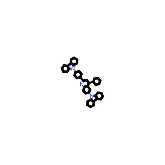 c1ccc(-c2cc(-c3ccc(-n4c5ccccc5c5ccccc54)cc3)nc3ccc(-n4c5ccccc5c5ccccc54)cc23)cc1